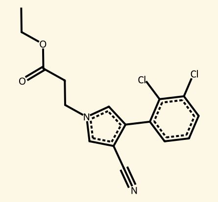 CCOC(=O)CCn1cc(C#N)c(-c2cccc(Cl)c2Cl)c1